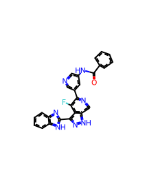 O=C(Nc1cncc(-c2ncc3[nH]nc(-c4nc5ccccc5[nH]4)c3c2F)c1)c1ccccc1